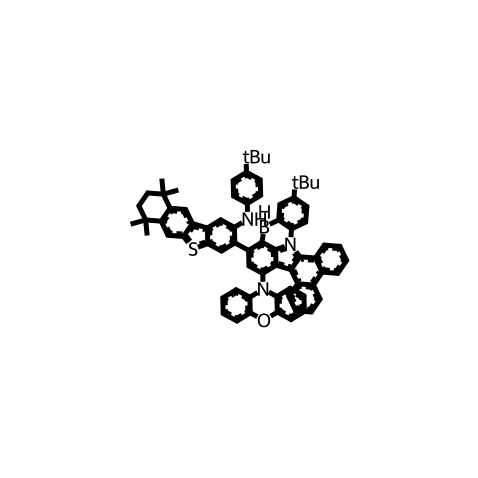 CC(C)(C)c1ccc(Nc2cc3c(cc2-c2cc(N4c5ccccc5Oc5ccccc54)c4c5c6ccccc6c6ccccc6c5n5c4c2Bc2cc(C(C)(C)C)ccc2-5)sc2cc4c(cc23)C(C)(C)CCC4(C)C)cc1